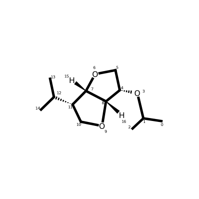 CC(C)O[C@H]1CO[C@@H]2[C@H]1OC[C@@H]2C(C)C